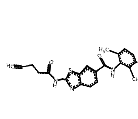 C#CCCC(=O)Nc1nc2ccc(C(=O)Nc3c(C)cccc3C)cc2s1